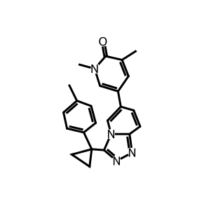 Cc1ccc(C2(c3nnc4ccc(-c5cc(C)c(=O)n(C)c5)cn34)CC2)cc1